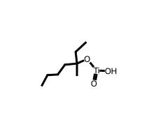 CCCCC(C)(CC)[O][Ti](=[O])[OH]